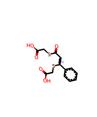 O=C(O)CSC(=O)/C=C(\SCC(=O)O)c1ccccc1